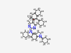 CC1(C)C=c2nc(-n3c4ccccc4c4ccc5c(ccn5-c5ccccc5)c43)nc(-c3ccccc3-c3cccc4ccccc34)c2=C1